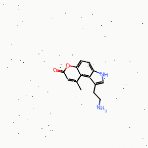 Cc1cc(=O)oc2ccc3[nH]cc(CCN)c3c12